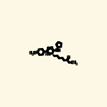 CCC(=O)CCCCC[C@H](NC(=O)C1CCN(C)CC1)C(=O)NC1CCCC1